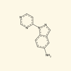 Nc1ccc2c(cnn2-c2ccncn2)c1